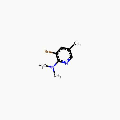 Cc1cnc(N(C)C)c(Br)c1